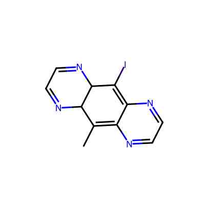 CC1=c2nccnc2=C(I)C2N=CC=NC12